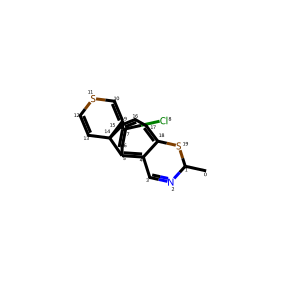 CC1N=CC2=C3C=C(Cl)C4=CSC=CC43C=CC=C2S1